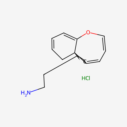 Cl.NCCC1CCC2=CC=COC3=CC=CCC23C1